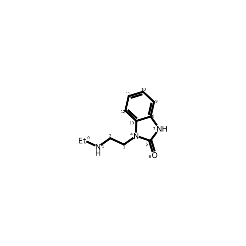 CCNCCn1c(=O)[nH]c2ccccc21